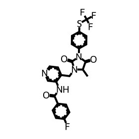 CC1C(=O)N(c2ccc(SC(F)(F)F)cc2)C(=O)N1Cc1ccncc1NC(=O)c1ccc(F)cc1